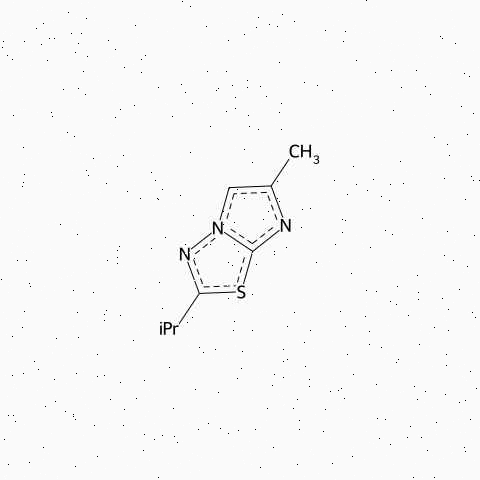 Cc1cn2nc(C(C)C)sc2n1